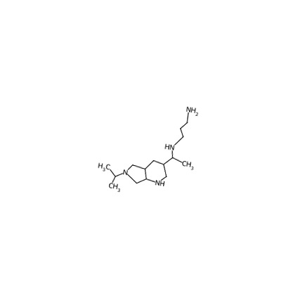 CC(NCCCN)C1CNC2CN(C(C)C)CC2C1